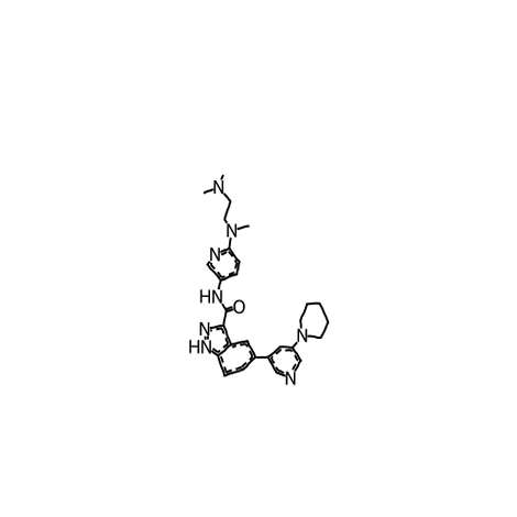 CN(C)CCN(C)c1ccc(NC(=O)c2n[nH]c3ccc(-c4cncc(N5CCCCC5)c4)cc23)cn1